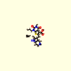 CCCn1c(=O)n(C)c(=O)c2c(C(=O)[O-])c(Cc3c(C)[nH]c4ccncc34)sc21.[Na+]